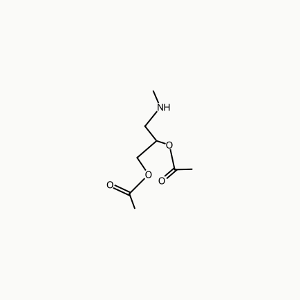 CNCC(COC(C)=O)OC(C)=O